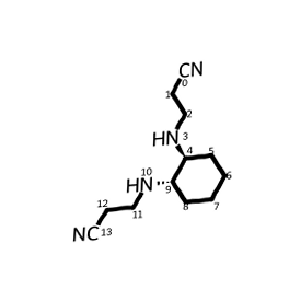 N#CCCN[C@H]1CCCC[C@@H]1NCCC#N